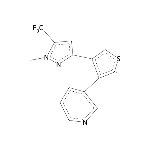 Cn1nc(-c2cs[c]c2-c2cccnc2)cc1C(F)(F)F